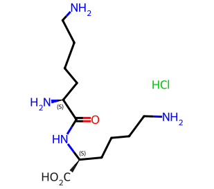 Cl.NCCCC[C@H](NC(=O)[C@@H](N)CCCCN)C(=O)O